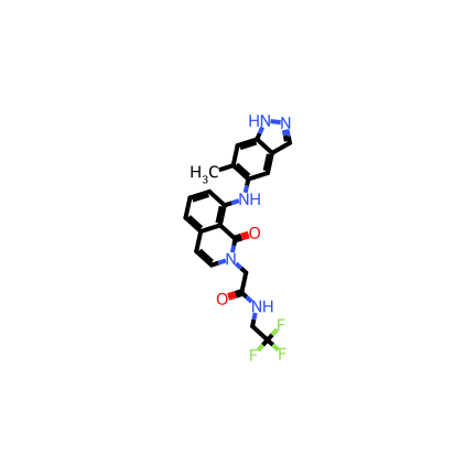 Cc1cc2[nH]ncc2cc1Nc1cccc2ccn(CC(=O)NCC(F)(F)F)c(=O)c12